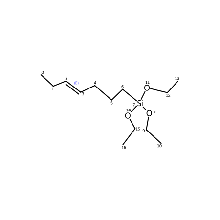 CC/C=C/CCC[Si](OCC)(OCC)OCC